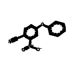 N#Cc1ccc(Oc2ccccc2)cc1[N+](=O)[O-]